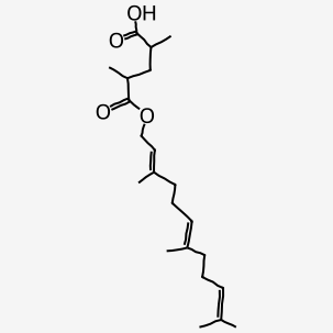 CC(C)=CCC/C(C)=C/CC/C(C)=C/COC(=O)C(C)CC(C)C(=O)O